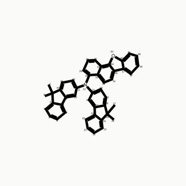 CC1(C)c2ccccc2-c2cc(N(c3ccc4c(c3)-c3ccccc3C4(C)C)c3cccc4c3ccc3c5ccccc5oc43)ccc21